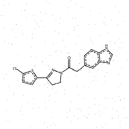 O=C(Cc1ccc2[nH]cnc2c1)N1CCC(c2ccc(Cl)s2)=N1